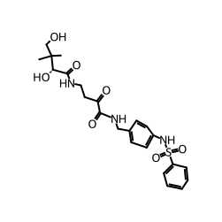 CC(C)(CO)[C@@H](O)C(=O)NCCC(=O)C(=O)NCc1ccc(NS(=O)(=O)c2ccccc2)cc1